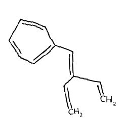 C=CC(C=C)=Cc1ccccc1